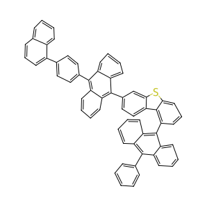 c1ccc(-c2c3ccccc3c(-c3cccc4sc5cc(-c6c7ccccc7c(-c7ccc(-c8cccc9ccccc89)cc7)c7ccccc67)ccc5c34)c3ccccc23)cc1